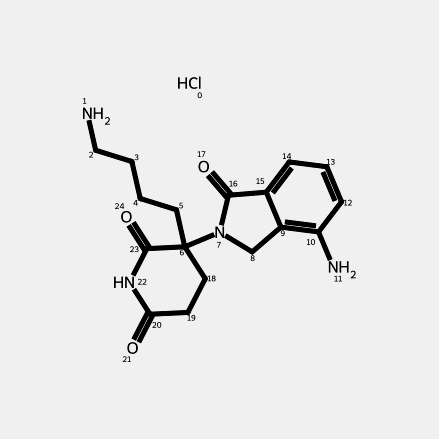 Cl.NCCCCC1(N2Cc3c(N)cccc3C2=O)CCC(=O)NC1=O